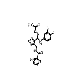 O=C(NCc1nonc1C(=NOC(=O)C(F)(F)F)Nc1ccc(F)c(Cl)c1)c1ncc[nH]1